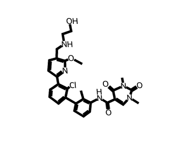 COc1nc(-c2cccc(-c3cccc(NC(=O)c4cn(C)c(=O)n(C)c4=O)c3C)c2Cl)ccc1CNCCO